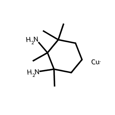 CC1(C)CCCC(C)(N)C1(C)N.[Cu]